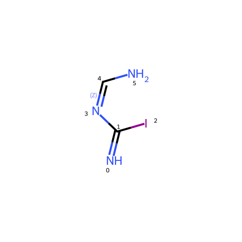 N=C(I)/N=C\N